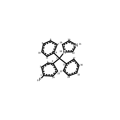 Fc1ccc(C(c2ccccc2)(c2ccccc2)n2ccnc2)cc1